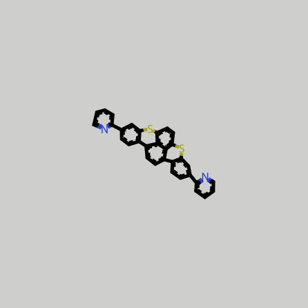 c1ccc(-c2ccc3c(c2)Sc2ccc4c5c(ccc-3c25)-c2ccc(-c3ccccn3)cc2S4)nc1